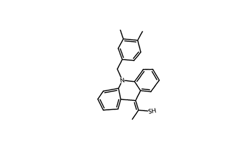 CC(S)=C1c2ccccc2N(Cc2ccc(C)c(C)c2)c2ccccc21